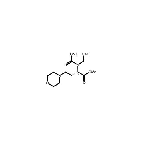 COC(=O)[C@H](CCN1CCOCC1)N(COC(C)=O)C(=O)OC